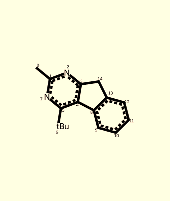 Cc1nc2c(c(C(C)(C)C)n1)-c1ccccc1C2